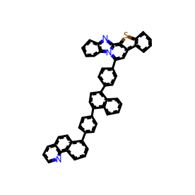 c1cnc2c(c1)ccc1c(-c3ccc(-c4ccc(-c5ccc(-c6cc7c8ccccc8sc7c7nc8ccccc8n67)cc5)c5ccccc45)cc3)cccc12